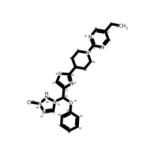 CCc1cnc(N2CCC(c3nc(C(Oc4ccccc4)N4C=NN(Cl)N4)cs3)CC2)nc1